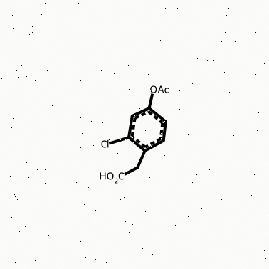 CC(=O)Oc1ccc(CC(=O)O)c(Cl)c1